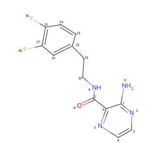 Nc1nccnc1C(=O)NCCc1ccc(F)c(F)c1